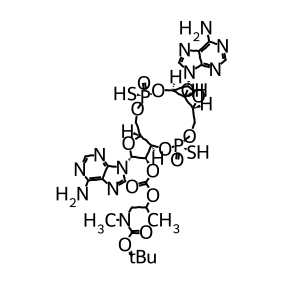 CC(CN(C)C(=O)OC(C)(C)C)OC(=O)O[C@@H]1[C@@H]2O[P@](=O)(S)OC[C@H]3O[C@@H](n4cnc5c(N)ncnc54)[C@H](O[P@](=O)(S)OC[C@H]2O[C@H]1n1cnc2c(N)ncnc21)[C@@H]3O